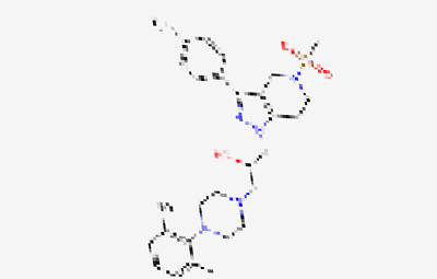 Cc1cccc(N=O)c1N1CCN(CC(O)Cn2nc(-c3ccc(C(F)(F)F)cc3)c3c2CCN(S(C)(=O)=O)C3)CC1